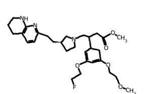 COCCOC1=CC(OCCF)=CC(C(CC(=O)OC)CN2CC[C@@H](CCc3ccc4c(n3)NCCC4)C2)C1